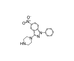 O=[N+]([O-])c1ccc2c(c1)c(N1CCNCC1)nn2-c1ccccc1